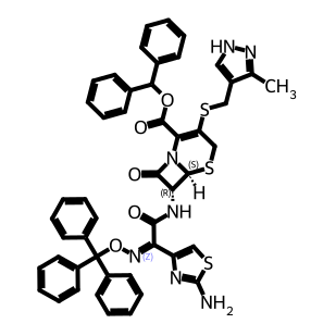 Cc1n[nH]cc1CSC1=C(C(=O)OC(c2ccccc2)c2ccccc2)N2C(=O)[C@@H](NC(=O)/C(=N\OC(c3ccccc3)(c3ccccc3)c3ccccc3)c3csc(N)n3)[C@@H]2SC1